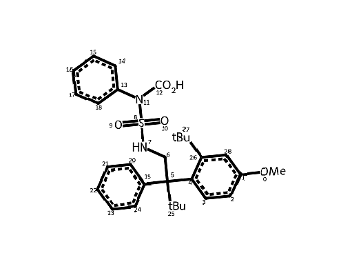 COc1ccc(C(CNS(=O)(=O)N(C(=O)O)c2ccccc2)(c2ccccc2)C(C)(C)C)c(C(C)(C)C)c1